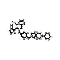 CC(C)Cn1ccnc1CN(Cc1ccc(CN2CCC3(CCN(C4CCCCC4)CC3)C2)cc1)Cc1ncc[nH]1